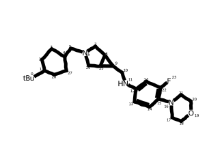 CC(C)(C)C1CCC(CN2CC3C(CNc4ccc(N5CCOCC5)c(F)c4)C3C2)CC1